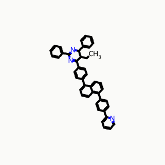 CCC1C(c2ccc(-c3cccc4c(-c5ccc(-c6ccccn6)cc5)cccc34)cc2)=NC(c2ccccc2)=NC1c1ccccc1